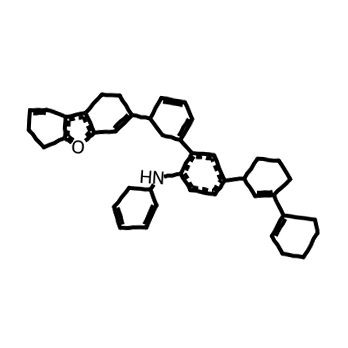 C1=CCC(Nc2ccc(C3C=C(C4=CCCCC4)CCC3)cc2C2=CC=CC(C3=Cc4oc5c(c4CC3)C=CCC5)C2)C=C1